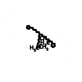 C=C(CCCCCC(CCCCCC1CCCC1)CC(=C)CCCN(C)C)CC1CCCC1